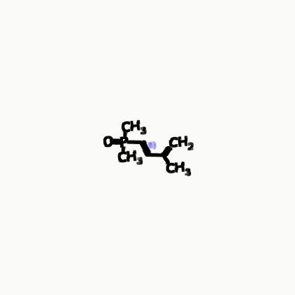 C=C(C)/C=C/P(C)(C)=O